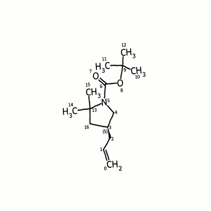 C=CC[C@@H]1CN(C(=O)OC(C)(C)C)C(C)(C)C1